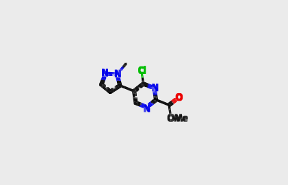 COC(=O)c1ncc(-c2ccnn2C)c(Cl)n1